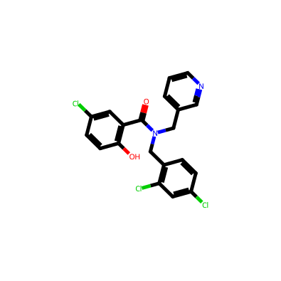 O=C(c1cc(Cl)ccc1O)N(Cc1cccnc1)Cc1ccc(Cl)cc1Cl